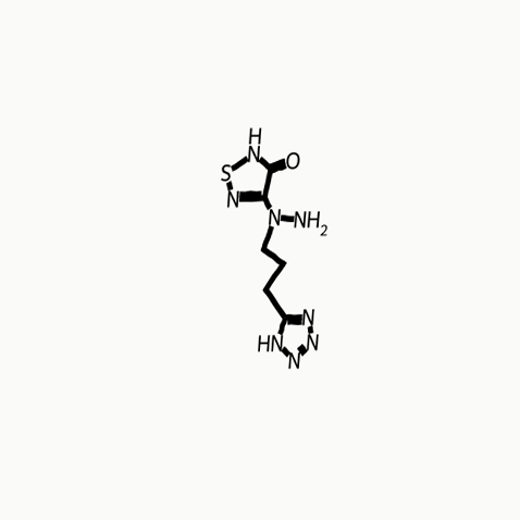 NN(CCCc1nnn[nH]1)c1ns[nH]c1=O